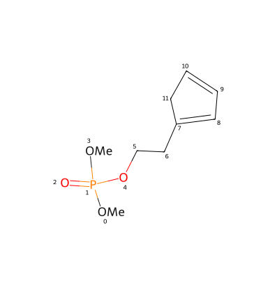 COP(=O)(OC)OCCC1=CC=CC1